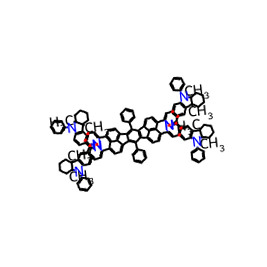 CC12CCCCC1(C)N(c1ccccc1)c1ccc(-c3cccc(-c4ccc5c6c(-c7ccccc7)c7c8ccc(-c9cccc(-c%10ccc%11c(c%10)C%10(C)CCCCC%10(C)N%11c%10ccccc%10)n9)c9c(-c%10cccc(-c%11ccc%12c(c%11)C%11(C)CCCCC%11(C)N%12c%11ccccc%11)n%10)ccc(c7c(-c7ccccc7)c6c6ccc(-c7cccc(-c%10ccc%11c(c%10)C%10(C)CCCCC%10(C)N%11c%10ccccc%10)n7)c4c56)c98)n3)cc12